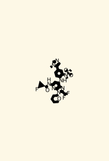 CN(c1cc(-c2cncn2C)ccc1Nc1cc(NC(=O)[C@@H]2C[C@@H]2F)nc2c1nc(C(F)F)n2C1CCCCO1)S(C)(=O)=O